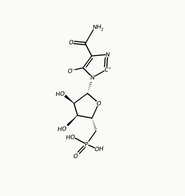 NC(=O)C1=C([O-])N([C@@H]2O[C@H](CP(=O)(O)O)[C@@H](O)[C@H]2O)[C+]=N1